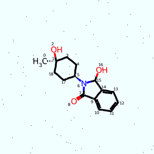 C[C@]1(O)CC[C@@H](N2C(=O)c3ccccc3C2O)CC1